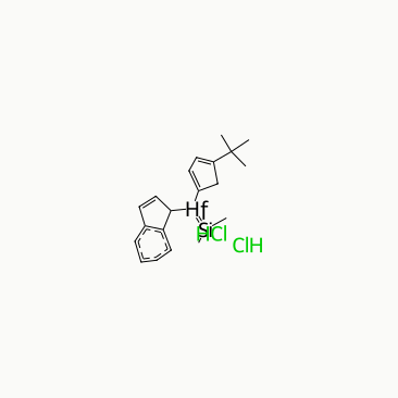 C[Si](C)=[Hf]([C]1=CC=C(C(C)(C)C)C1)[CH]1C=Cc2ccccc21.Cl.Cl